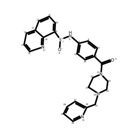 O=C(c1ccc(N[S+]([O-])c2cccc3cccnc23)cc1)N1CCN(Cc2ccccn2)CC1